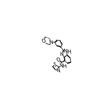 O=C(Nc1nccs1)c1cccc2[nH]c(-c3cccc(N4CCOCC4)c3)nc12